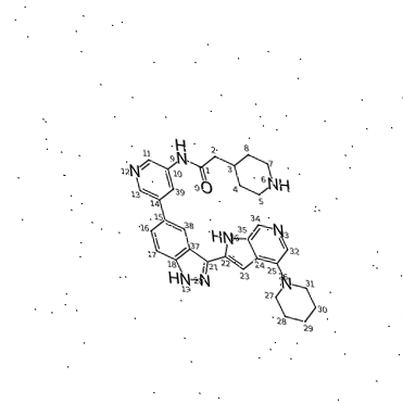 O=C(CC1CCNCC1)Nc1cncc(-c2ccc3[nH]nc(-c4cc5c(N6CCCCC6)cncc5[nH]4)c3c2)c1